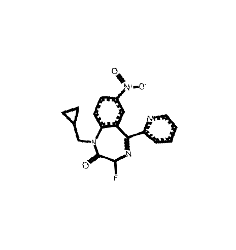 O=C1C(F)N=C(c2ccccn2)c2cc([N+](=O)[O-])ccc2N1CC1CC1